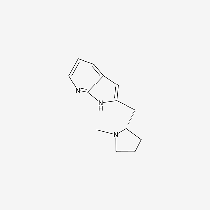 CN1CCC[C@H]1Cc1cc2cccnc2[nH]1